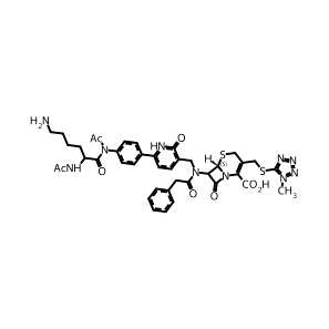 CC(=O)NC(CCCCN)C(=O)N(C(C)=O)c1ccc(-c2ccc(CN(C(=O)Cc3ccccc3)C3C(=O)N4C(C(=O)O)=C(CSc5nnnn5C)CS[C@@H]34)c(=O)[nH]2)cc1